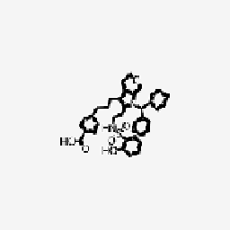 O=C(O)c1ccc(CCCc2c(CCNS(=O)(=O)c3ccccc3O)n(C(c3ccccc3)c3ccccc3)c3ccccc23)cc1